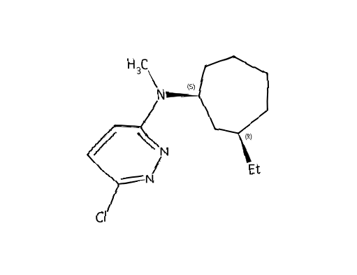 CC[C@@H]1CCCC[C@H](N(C)c2ccc(Cl)nn2)C1